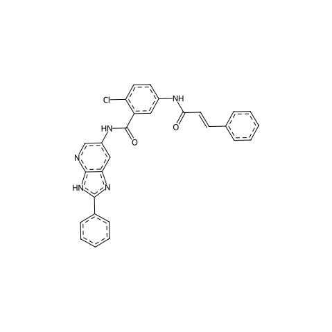 O=C(C=Cc1ccccc1)Nc1ccc(Cl)c(C(=O)Nc2cnc3[nH]c(-c4ccccc4)nc3c2)c1